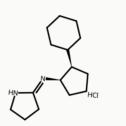 C1CCC([C@H]2CCC[C@H]2N=C2CCCN2)CC1.Cl